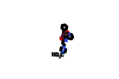 O=C(O)N1CCN(CCc2nc(C3(S(=O)(=O)CC4CCCCC4)CCCCN3)no2)CC1